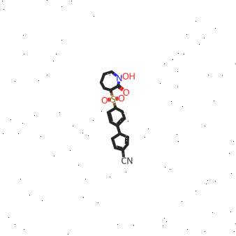 N#CC1=CCC(C2=CCC(S(=O)(=O)C3CCCCN(O)C3=O)C=C2)C=C1